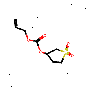 C=CCOC(=O)OC1CCS(=O)(=O)C1